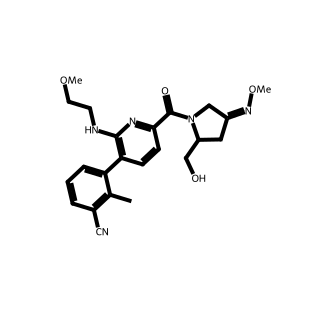 COCCNc1nc(C(=O)N2C/C(=N\OC)CC2CO)ccc1-c1cccc(C#N)c1C